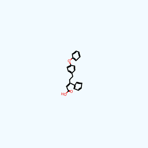 O=C(O)C=C(CCc1ccc(Oc2ccccc2)cc1)c1ccccc1